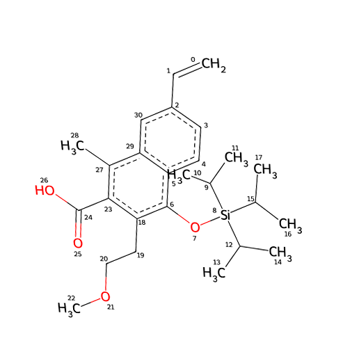 C=Cc1ccc2c(O[Si](C(C)C)(C(C)C)C(C)C)c(CCOC)c(C(=O)O)c(C)c2c1